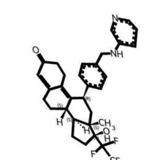 C[C@]12C[C@H](c3ccc(CNc4cccnc4)cc3)C3=C4CCC(=O)C=C4CC[C@H]3[C@@H]1CC[C@@]2(O)C(F)(F)C(F)(F)F